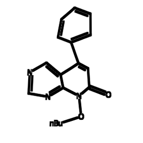 CCCCOn1c(=O)cc(-c2ccccc2)c2cncnc21